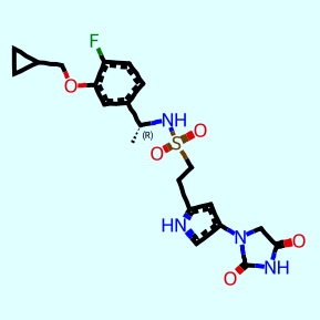 C[C@@H](NS(=O)(=O)CCc1cc(N2CC(=O)NC2=O)c[nH]1)c1ccc(F)c(OCC2CC2)c1